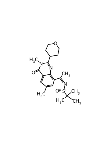 C/C(=N/[S@+]([O-])C(C)(C)C)c1cc(C)cc2c(=O)n(C)c(C3CCOCC3)nc12